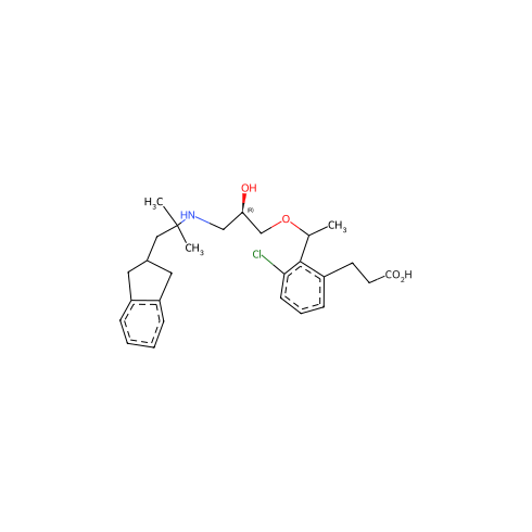 CC(OC[C@H](O)CNC(C)(C)CC1Cc2ccccc2C1)c1c(Cl)cccc1CCC(=O)O